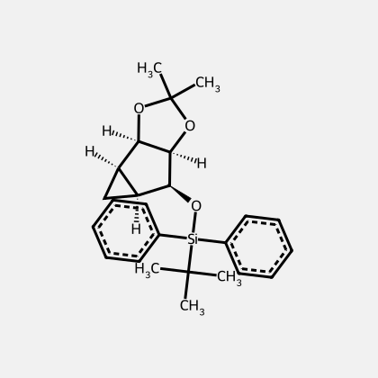 CC1(C)O[C@@H]2[C@H](O1)[C@@H]1C[C@@H]1[C@@H]2O[Si](c1ccccc1)(c1ccccc1)C(C)(C)C